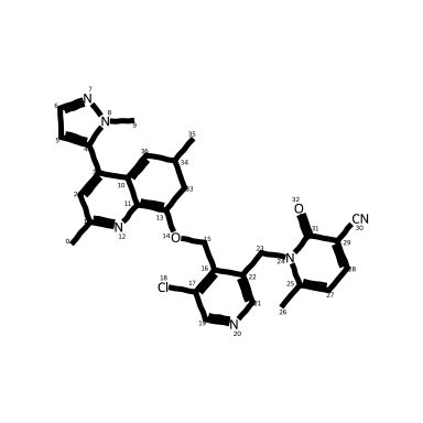 Cc1cc(-c2ccnn2C)c2c(n1)=C(OCc1c(Cl)cncc1Cn1c(C)ccc(C#N)c1=O)CC(C)C=2